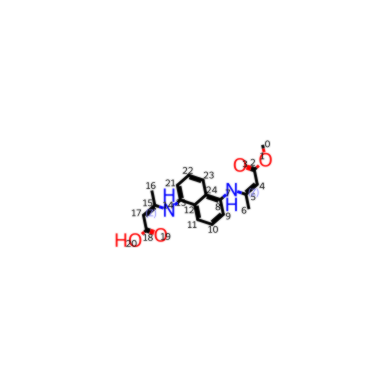 COC(=O)/C=C(/C)Nc1cccc2c(N/C(C)=C\C(=O)O)cccc12